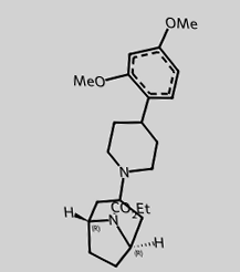 CCOC(=O)N1[C@@H]2CC[C@@H]1CC(N1CCC(c3ccc(OC)cc3OC)CC1)C2